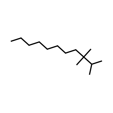 CCCCCCCCC(C)(C)C(C)C